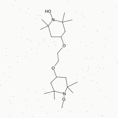 CON1C(C)(C)CC(OCCOC2CC(C)(C)N(O)C(C)(C)C2)CC1(C)C